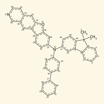 CC1(C)c2ccccc2-c2cc(N(c3ccc(-c4ccccc4)cc3)c3ccc4c(c3)oc3cc5ccncc5cc34)ccc21